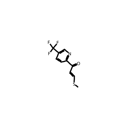 CSC=CC(=O)c1ccc(C(F)(F)F)cn1